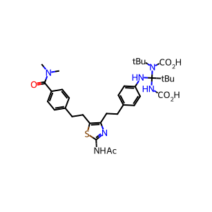 CC(=O)Nc1nc(CCc2ccc(NC(NC(=O)O)(N(C(=O)O)C(C)(C)C)C(C)(C)C)cc2)c(CCc2ccc(C(=O)N(C)C)cc2)s1